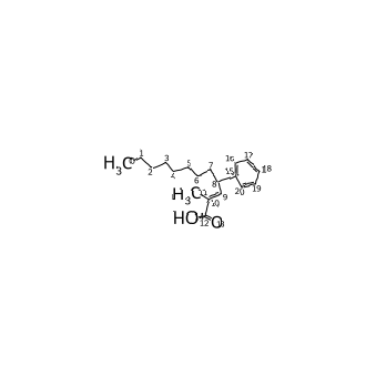 CCCCCCCCC(C=C(C)C(=O)O)c1ccccc1